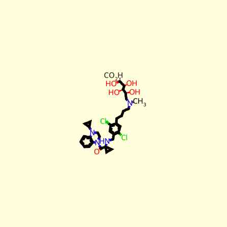 CN(CCCCc1cc(Cl)c(CNC2(C(=O)N3CCN(C4CC4)c4ccccc43)CC2)cc1Cl)C[C@H](O)[C@@H](O)[C@H](O)[C@H](O)C(=O)O